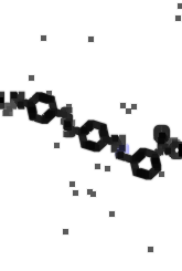 Nc1ccc(SSc2ccc(/N=C/c3cccc([N+](=O)[O-])c3)cc2)cc1